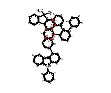 CC1(C)c2ccccc2-c2cc(N(c3cccc(-c4cccc5c4c4ccccc4n5-c4ccccc4)c3)c3cccc(-c4ccccc4)c3-c3ccccc3-c3ccccc3)ccc21